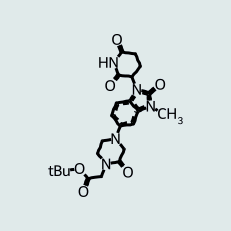 Cn1c(=O)n(C2CCC(=O)NC2=O)c2ccc(N3CCN(CC(=O)OC(C)(C)C)C(=O)C3)cc21